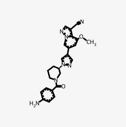 COc1cc(-c2cnn([C@@H]3CCCN(C(=O)c4ccc(N)cc4)C3)c2)cn2ncc(C#N)c12